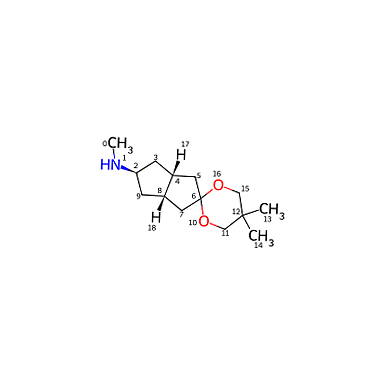 CN[C@H]1C[C@@H]2CC3(C[C@@H]2C1)OCC(C)(C)CO3